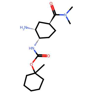 CN(C)C(=O)[C@H]1CC[C@H](NC(=O)OC2(C)CCCCC2)[C@H](N)C1